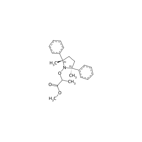 COC(=O)C(C)ON1[C@](C)(c2ccccc2)CC[C@@]1(C)c1ccccc1